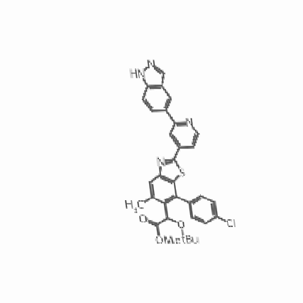 COC(=O)C(OC(C)(C)C)c1c(C)cc2nc(-c3ccnc(-c4ccc5[nH]ncc5c4)c3)sc2c1-c1ccc(Cl)cc1